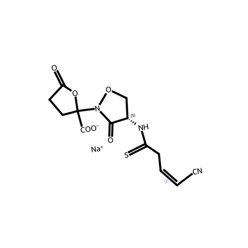 N#C/C=C\CC(=S)N[C@H]1CON(C2(C(=O)[O-])CCC(=O)O2)C1=O.[Na+]